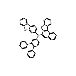 c1ccc(-c2ccc(N(c3ccc4c(c3)oc3ccccc34)c3cc4ccccc4c4c3sc3ccccc34)cc2-c2ccccc2)cc1